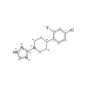 Fc1cc(Cl)ccc1C1CCN(c2nc[nH]n2)CC1